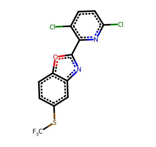 FC(F)(F)Sc1ccc2oc(-c3nc(Cl)ccc3Cl)nc2c1